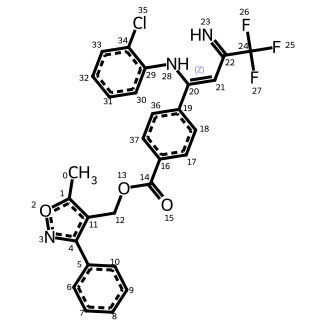 Cc1onc(-c2ccccc2)c1COC(=O)c1ccc(/C(=C/C(=N)C(F)(F)F)Nc2ccccc2Cl)cc1